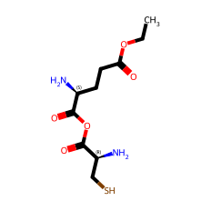 CCOC(=O)CC[C@H](N)C(=O)OC(=O)[C@@H](N)CS